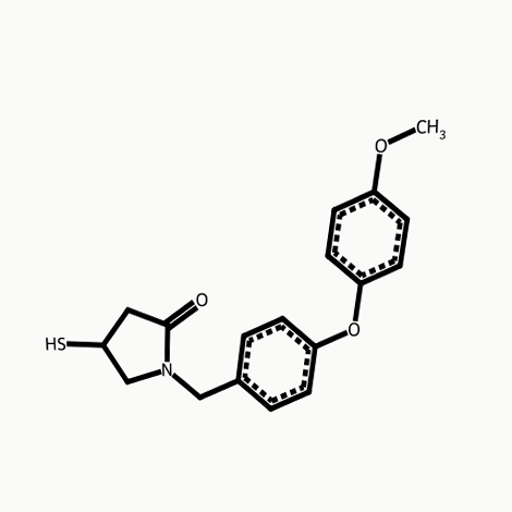 COc1ccc(Oc2ccc(CN3CC(S)CC3=O)cc2)cc1